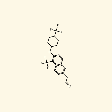 O=CCc1ccc2c(C(F)(F)F)c(OC3CCC(C(F)(F)F)CC3)ccc2n1